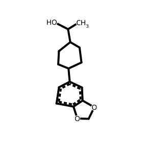 CC(O)C1CCC(c2ccc3c(c2)OCO3)CC1